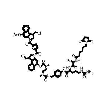 CC(=O)Oc1cc2c(c3ccccc13)C(CCl)CN2C(=O)c1ccc(C(=O)N2CC(CCl)c3c2cc(OC(=O)N(C)CCN(C)C(=O)OCc2ccc(NC(=O)C(CCCNC(N)=O)NC(=O)C(NC(=O)CCCCCN4C(=O)C=CC4=O)C(C)C)cc2)c2ccccc32)s1